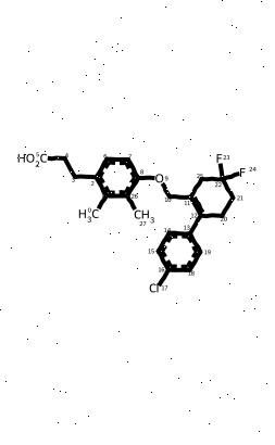 Cc1c(CCC(=O)O)ccc(OCC2=C(c3ccc(Cl)cc3)CCC(F)(F)C2)c1C